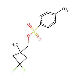 Cc1ccc(S(=O)(=O)OCC2(C)CC(F)(F)C2)cc1